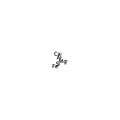 [Al].[Ca].[Fe].[Mg].[Si]